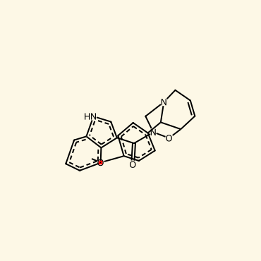 COc1ccc(C2C3C=CCN2CN(C(=O)c2c[nH]c4ccccc24)O3)cc1